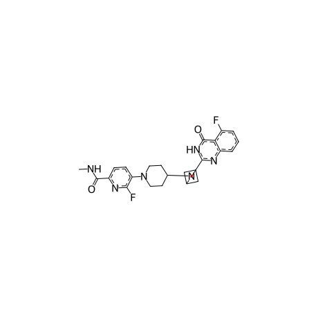 CNC(=O)c1ccc(N2CCC(N3CC4(c5nc6cccc(F)c6c(=O)[nH]5)CC3C4)CC2)c(F)n1